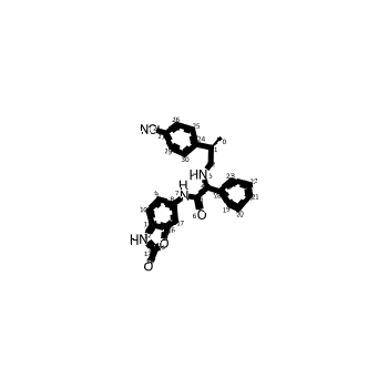 C[C@@H](CNC(C(=O)Nc1ccc2[nH]c(=O)oc2c1)c1ccccc1)c1ccc(C#N)cc1